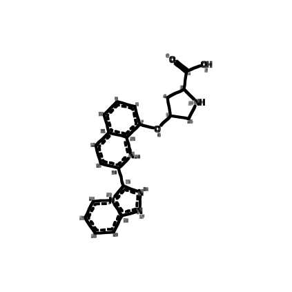 O=C(O)C1CC(Oc2cccc3ccc(-c4nnc5ccccn45)nc23)CN1